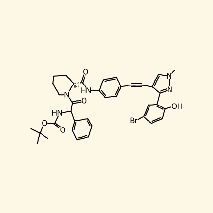 Cn1cc(C#Cc2ccc(NC(=O)[C@H]3CCCCN3C(=O)C(NC(=O)OC(C)(C)C)c3ccccc3)cc2)c(-c2cc(Br)ccc2O)n1